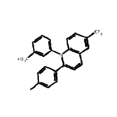 Cc1ccc(C2=C=Cc3cc(C(F)(F)F)ccc3N2c2cccc(C(=O)O)c2)cc1